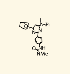 CNC(=O)Nc1ccc(-c2nc(NC(C)C)cc(N3CC4CCC(C3)O4)n2)cc1